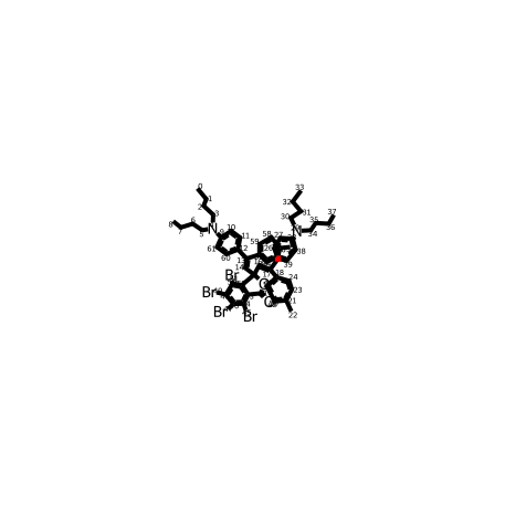 CCCCN(CCCC)c1ccc(/C(=C/C2(/C=C(\c3ccc(C)cc3)c3ccc(N(CCCC)CCCC)cc3)OC(=O)c3c(Br)c(Br)c(Br)c(Br)c32)c2ccc(C)cc2)cc1